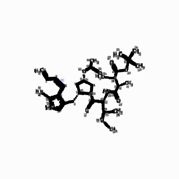 C=C/C=C\c1c(C[C@@H]2C[C@H](OC(C)=O)CN2C(=O)[C@@H](NC(=O)[C@H](C)N(C)C(=O)OC(C)(C)C)[C@@H](C)OC)c[nH]c1N